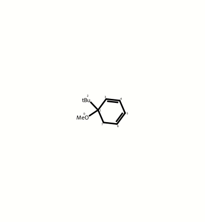 COC1(C(C)(C)C)C=CC=CC1